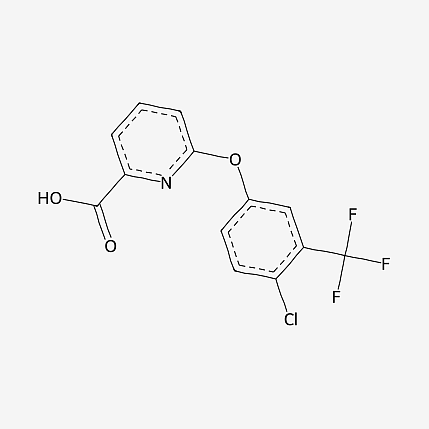 O=C(O)c1cccc(Oc2ccc(Cl)c(C(F)(F)F)c2)n1